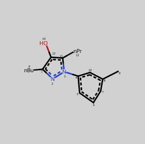 CCCCc1nn(-c2cccc(C)c2)c(CCC)c1O